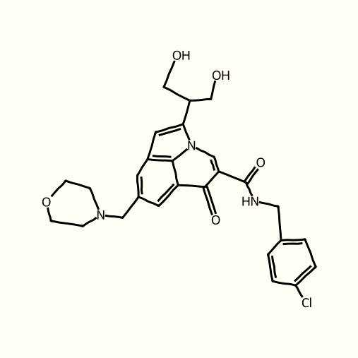 O=C(NCc1ccc(Cl)cc1)c1cn2c(C(CO)CO)cc3cc(CN4CCOCC4)cc(c1=O)c32